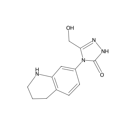 O=c1[nH]nc(CO)n1-c1ccc2c(c1)NCCC2